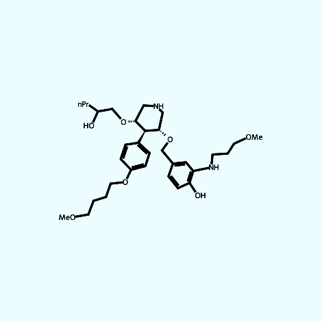 CCCC(O)CO[C@@H]1CNC[C@H](OCc2ccc(O)c(NCCCOC)c2)[C@H]1c1ccc(OCCCCOC)cc1